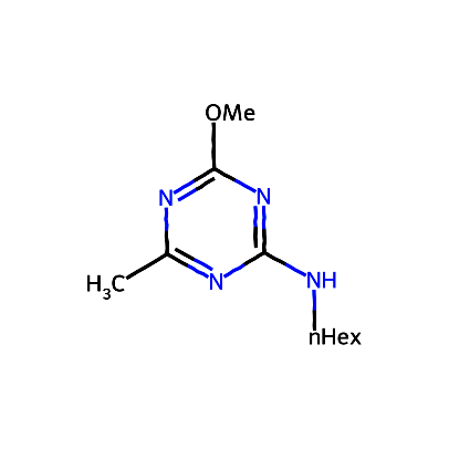 CCCCCCNc1nc(C)nc(OC)n1